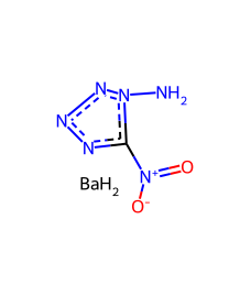 Nn1nnnc1[N+](=O)[O-].[BaH2]